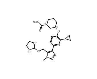 COC(=O)[C@H]1CCC[C@H](Oc2ncc(-c3nnn(C)c3COC3NCCO3)nc2C2CC2)C1